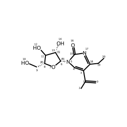 C=C(C)c1cn([C@@H]2O[C@H](CO)C(O)[C@@H]2O)c(=O)nc1CC